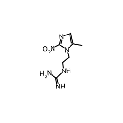 Cc1cnc([N+](=O)[O-])n1CCNC(=N)N